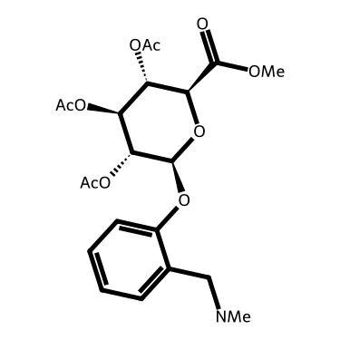 CNCc1ccccc1O[C@@H]1O[C@H](C(=O)OC)[C@@H](OC(C)=O)[C@H](OC(C)=O)[C@H]1OC(C)=O